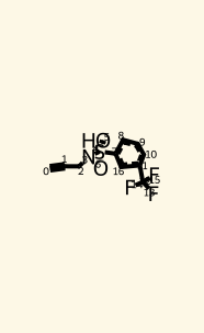 C#CCNS(=O)(=O)c1cccc(C(F)(F)F)c1